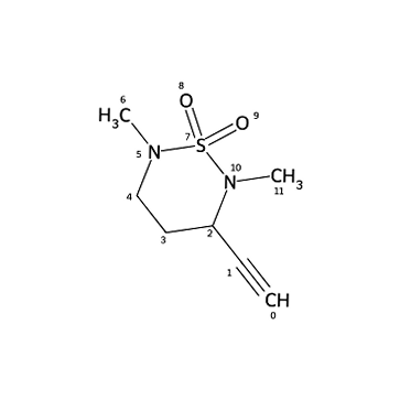 C#CC1CCN(C)S(=O)(=O)N1C